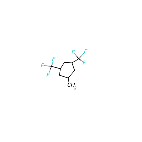 CC1CC(C(F)(F)F)CC(C(F)(F)F)C1